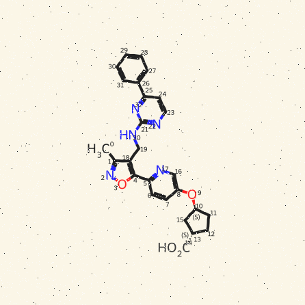 Cc1noc(-c2ccc(O[C@H]3CC[C@H](C(=O)O)C3)cn2)c1CNc1nccc(-c2ccccc2)n1